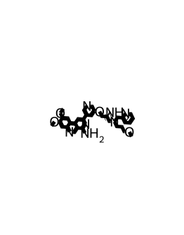 COCCCN(Cc1ccccn1)C[C@H](N)COc1cncc(-c2cc3c(cnc4cc(OC)c(OC)cc43)c(N)n2)c1